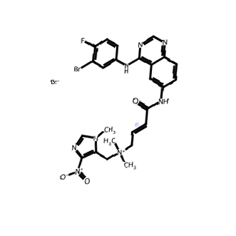 Cn1cnc([N+](=O)[O-])c1C[N+](C)(C)C/C=C/C(=O)Nc1ccc2ncnc(Nc3ccc(F)c(Br)c3)c2c1.[Br-]